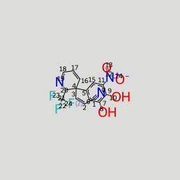 N#C/C=C\C1(c2cc(O)c(O)c([N+](=O)[O-])c2)C=CC=NC1C(F)(F)F